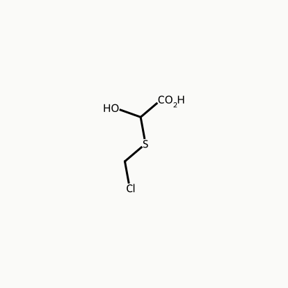 O=C(O)C(O)SCCl